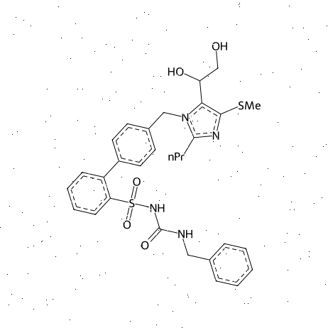 CCCc1nc(SC)c(C(O)CO)n1Cc1ccc(-c2ccccc2S(=O)(=O)NC(=O)NCc2ccccc2)cc1